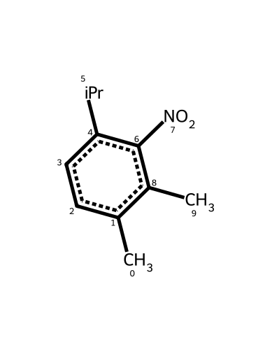 Cc1ccc(C(C)C)c([N+](=O)[O-])c1C